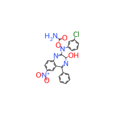 NC(=O)ON(C1=Nc2ccc([N+](=O)[O-])cc2C(c2ccccc2)=NC1O)c1cccc(Cl)c1